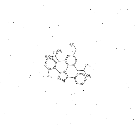 CCc1cc(CC(C)C)c(-n2c(-c3ccccc3)nnc2-c2cc(C)ccc2C)c(CC(C)C)c1